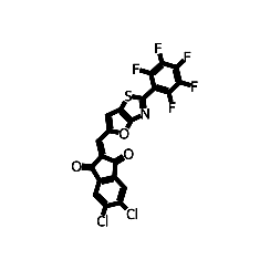 O=C1C(=Cc2cc3sc(-c4c(F)c(F)c(F)c(F)c4F)nc3o2)C(=O)c2cc(Cl)c(Cl)cc21